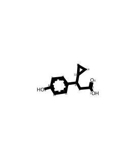 O=C(O)CC(c1ccc(O)cc1)C1CC1